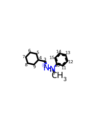 CN(/N=C/C1CCCCC1)c1ccccc1